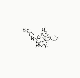 CC1(c2cc(NC(=O)c3ccc(C#N)cn3)ccc2F)CC2(CCCCC2)SC(N)=N1